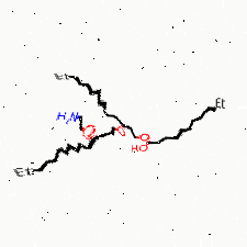 CC/C=C/CCCCCCCC(O)OCCC(CCCCCCC/C=C/CC)OCCC(CCCCCCC/C=C/CC)OCCN